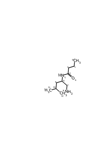 CCCC(=O)NC(CN)CC(C)C